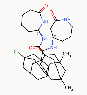 CC12CC3CC(C)(C1)CC(C(=O)N([C@H]1CCCCC(=O)N1)[C@@]1(NC(=O)C45CC6CC(CC(Cl)(C6)C4)C5)CCCNC(=O)C1)(C3)C2